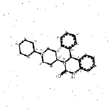 O=C1Nc2ccccc2C(c2ccccc2)N1C1CCN(C2CCCCC2)CC1